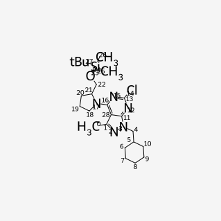 Cc1nn(CC2CCCCC2)c2nc(Cl)nc(N3CCCC3CO[Si](C)(C)C(C)(C)C)c12